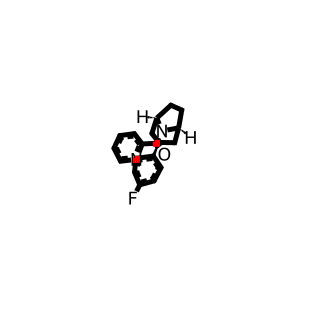 O=C(c1ccccn1)N1[C@@H]2CC[C@H]1C[C@@H](c1ccc(F)cc1)C2